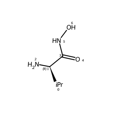 CC(C)[C@@H](N)C(=O)NO